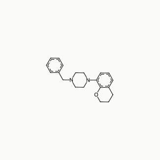 c1ccc(CN2CCN(c3cccc4c3OCCC4)CC2)cc1